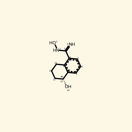 N=C(NO)c1cccc2c1CCC[C@H]2O